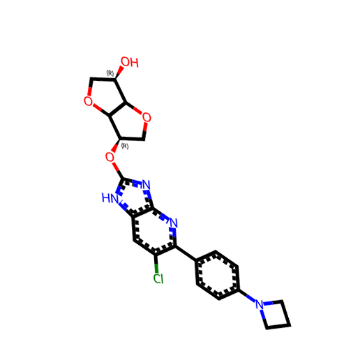 O[C@@H]1COC2C1OC[C@H]2Oc1nc2nc(-c3ccc(N4CCC4)cc3)c(Cl)cc2[nH]1